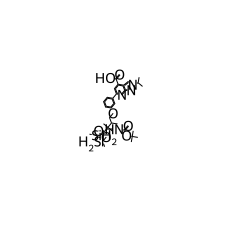 C[SiH2]OC(O[SiH2]C)C(C)(C)C(CNC(=O)OC(C)(C)C)COc1cccc(-c2cc(C(=O)O)c3cn(C(C)C)nc3n2)c1